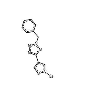 CCn1cc(-c2nnn(Cc3ccccc3)n2)cn1